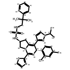 CC(C)(CNS(=O)(=O)N[C@H]1CC2=C(c3ccn(C(F)F)n3)[C@H](c3ccc(F)cc3Cl)N=C(c3nccs3)N2C1)c1ccccn1